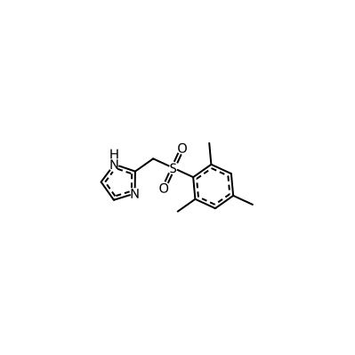 Cc1cc(C)c(S(=O)(=O)Cc2ncc[nH]2)c(C)c1